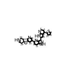 c1csc(-c2ccnc3[nH]c(-c4n[nH]c5ccc(-c6cncc(OC7CCNCC7)c6)nc45)cc23)c1